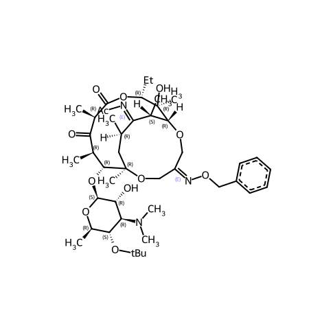 CC[C@H]1OC(=O)[C@H](C)C(=O)[C@H](C)[C@@H](O[C@@H]2O[C@H](C)[C@@H](OC(C)(C)C)[C@H](N(C)C)[C@H]2O)[C@@]2(C)C[C@@H](C)/C(=N\C(C)=O)[C@H](C)[C@@H](OC/C(=N\OCc3ccccc3)CO2)[C@]1(C)O